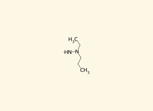 CCCN([NH])CC